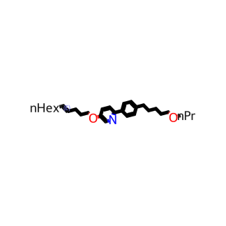 CCCCCC/C=C/CCCOc1ccc(-c2ccc(CCCCCOCCC)cc2)nc1